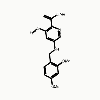 C=C(OC)c1ncc(NCc2ccc(OC)cc2OC)cc1SCC